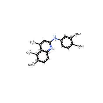 COc1ccc(Nc2cc(C(F)(F)F)c3c([N+](=O)[O-])c(OC)ccc3n2)cc1OC